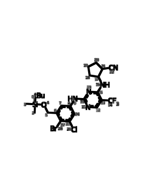 CC(C)(C)[Si](C)(C)OCc1cc(Nc2ncc(C(F)(F)F)c(NC3CCCC3C#N)n2)cc(Cl)c1Br